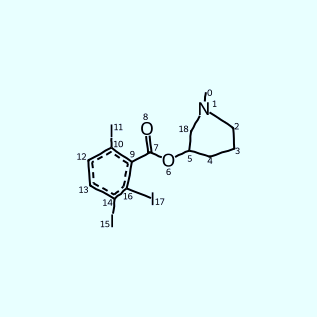 CN1CCCC(OC(=O)c2c(I)ccc(I)c2I)C1